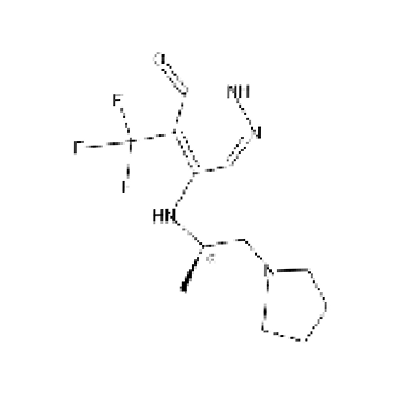 C[C@H](CN1CCCC1)Nc1cn[nH]c(=O)c1C(F)(F)F